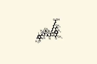 COc1c(I)cc(I)c(C(=O)N[C@@H](CC(=O)N[C@H](CNC(=O)[C@@H](C)c2ccc(CC(C)C)cc2)C(=O)NCCCCCCCCC(=O)O)C(=O)OC(C)(C)C)c1I